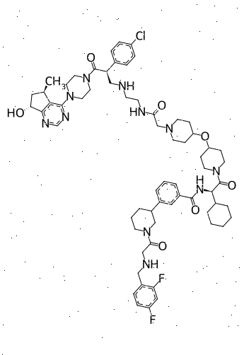 C[C@@H]1C[C@@H](O)c2ncnc(N3CCN(C(=O)[C@H](CNCCNC(=O)CN4CCC(OC5CCN(C(=O)[C@H](NC(=O)c6cccc(C7CCCN(C(=O)CNCc8ccc(F)cc8F)C7)c6)C6CCCCC6)CC5)CC4)c4ccc(Cl)cc4)CC3)c21